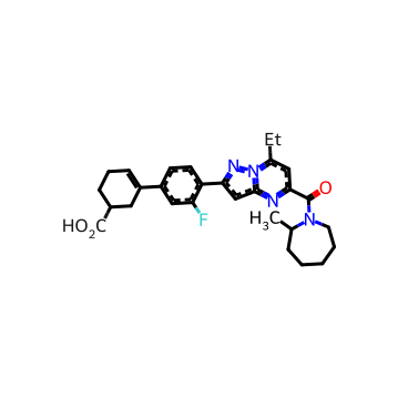 CCc1cc(C(=O)N2CCCCCC2C)nc2cc(-c3ccc(C4=CCCC(C(=O)O)C4)cc3F)nn12